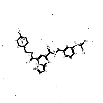 CC(=O)C12CCC(CNC(=O)c3cc(C(=O)NCc4cccc(OC(F)F)c4)nc4ccnn34)(CC1)CC2